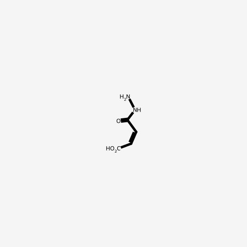 NNC(=O)/C=C\C(=O)O